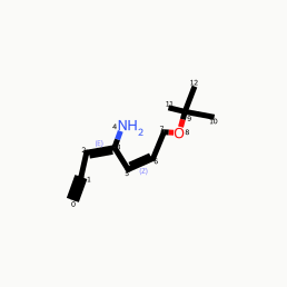 C#C/C=C(N)\C=C/COC(C)(C)C